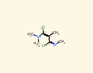 C/N=C(Cl)\C(C)=C(\Cl)N(C)C